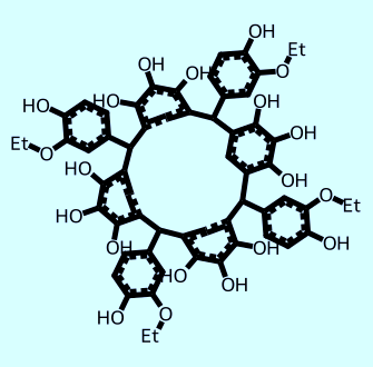 CCOc1cc(C2c3cc(c(O)c(O)c3O)C(c3ccc(O)c(OCC)c3)c3cc(c(O)c(O)c3O)C(c3ccc(O)c(OCC)c3)c3cc(c(O)c(O)c3O)C(c3ccc(O)c(OCC)c3)c3cc2c(O)c(O)c3O)ccc1O